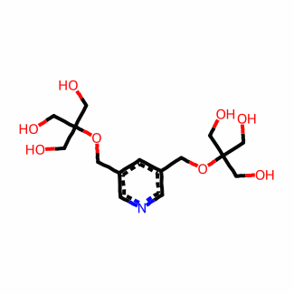 OCC(CO)(CO)OCc1cncc(COC(CO)(CO)CO)c1